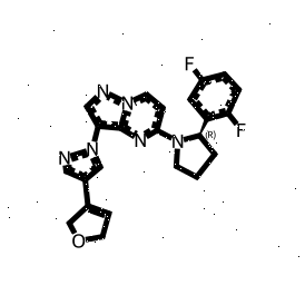 Fc1ccc(F)c([C@H]2CCCN2c2ccn3ncc(-n4cc(C5=CCOC5)cn4)c3n2)c1